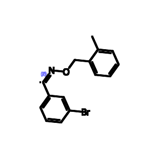 Cc1ccccc1CO/N=[C]\c1cccc(Br)c1